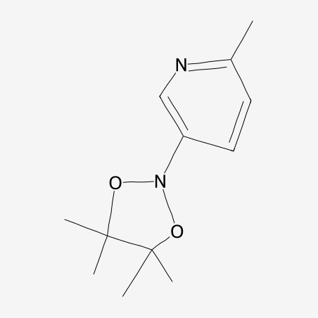 Cc1ccc(N2OC(C)(C)C(C)(C)O2)cn1